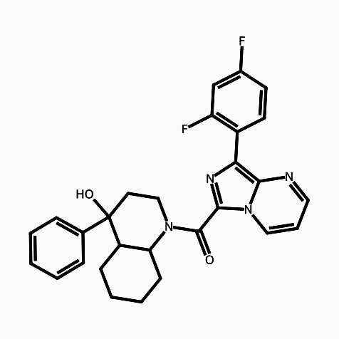 O=C(c1nc(-c2ccc(F)cc2F)c2ncccn12)N1CCC(O)(c2ccccc2)C2CCCCC21